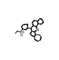 CC[PH](=O)c1cccc(-c2c3ccc4c(c3nc3c2ccc2ccccc23)CC=CC=C4)c1